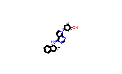 [CH2][C@H]1C[C@@H](n2ccc3c(N[C@@H]4c5ccccc5C[C@@H]4C)ncnc32)C[C@@H]1O